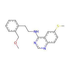 COCc1ccccc1CCNc1ncnc2ccc(SC)cc12